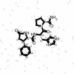 NC(=O)[C@@H]1CCCN1C(=O)[C@H](Cc1c[nH]cn1)NC(=O)[C@H]1NC(=O)C[C@@H]1c1ccccc1